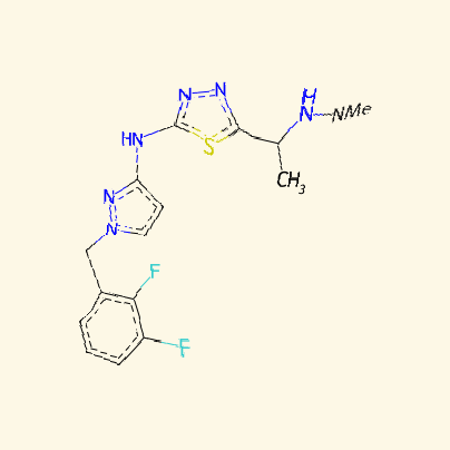 CNNC(C)c1nnc(Nc2ccn(Cc3cccc(F)c3F)n2)s1